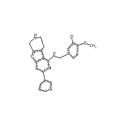 COc1ccc(CNc2nc(-c3cccnc3)nc3sc4c(c23)CCNC4)cc1Cl